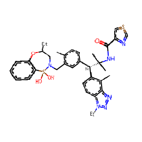 CCC1CN(Cc2cc([C@@H](c3ccc4c(nnn4CC)c3C)C(C)(C)NC(=O)c3cscn3)ccc2C)S(O)(O)c2ccccc2O1